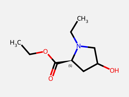 CCOC(=O)[C@@H]1CC(O)CN1CC